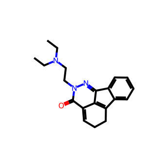 CCN(CC)CCn1nc2c3c(c1=O)=CCCC=3c1ccccc1-2